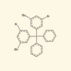 CC(C)(C)c1cc(Br)cc(S(c2ccccc2)(c2ccccc2)c2cc(Br)cc(C(C)(C)C)c2)c1